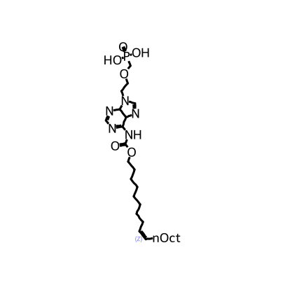 CCCCCCCC/C=C\CCCCCCCCOC(=O)NC1=NC=NC2C1N=CN2CCOCP(=O)(O)O